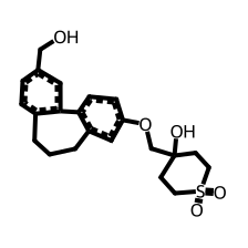 O=S1(=O)CCC(O)(COc2ccc3c(c2)CCCc2ccc(CO)cc2-3)CC1